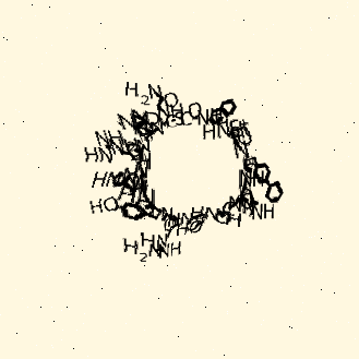 CC[C@@H]1NC(=O)[C@H](Cc2ccccc2)NC(=O)CSC[C@@H](C(=O)NCC(N)=O)NC(=O)[C@H](Cc2cncn2C)NC(=O)[C@H](CCCNC(=N)N)NC(=O)[C@H](Cc2c[nH]cn2)NC(=O)[C@H](Cc2ccc(O)cc2)N(C)C(=O)[C@H](CCCNC(=N)N)NC(=O)[C@H](CO)NC(=O)CNC(=O)[C@H](Cc2c[nH]cn2)NC(=O)[C@H](Cc2ccc(-c3ccccc3)cc2)NC1=O